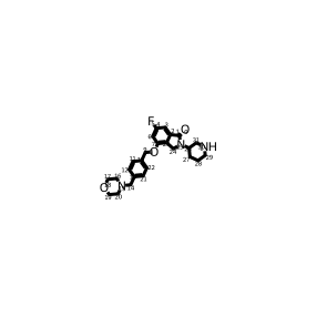 O=C1c2cc(F)cc(OCc3ccc(CN4CCOCC4)cc3)c2CN1C1CCCNC1